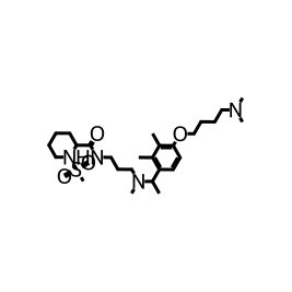 Cc1c(OCCCCN(C)C)ccc(C(C)N(C)CCCNC(=O)C2CCCCN2S(C)(=O)=O)c1C